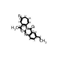 CCc1ccc2ncn(C3=C(C(C)=O)C=C(F)CC=C3)c(=O)c2c1